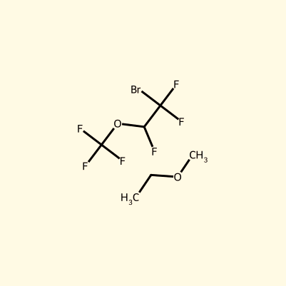 CCOC.FC(OC(F)(F)F)C(F)(F)Br